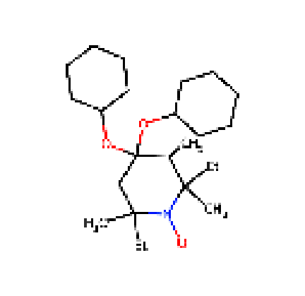 CCC1(C)CC(OC2CCCCC2)(OC2CCCCC2)C(C)C(C)(CC)N1[O]